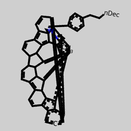 CCCCCCCCCCCCc1ccc(C2N(C)CC34C5=C6C=CC7C8C6=C3c3c6c9c%10c3c3c%11c(ccc%12c%13c(c%10c%12%11)C%10C(=C%11C=CC7C(C=68)C%11C=9%10)C=C%13)=C(C=C5)C324)cc1